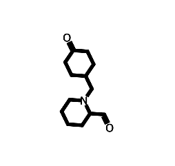 O=CC1CCCCN1CC1CCC(=O)CC1